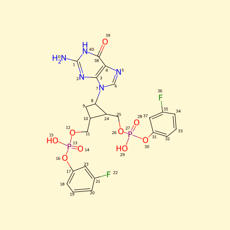 Nc1nc2c(ncn2C2CC(COP(=O)(O)Oc3cccc(F)c3)C2COP(=O)(O)Oc2cccc(F)c2)c(=O)[nH]1